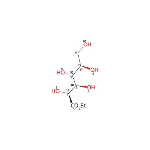 CCOC(=O)[C@@H](O)[C@H](O)[C@H](O)[C@H](O)CO